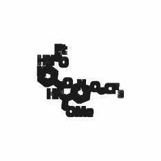 CCC(=O)Nc1cc(C(=O)NC(COC)c2ccc(OCC(F)(F)F)nc2)ccn1